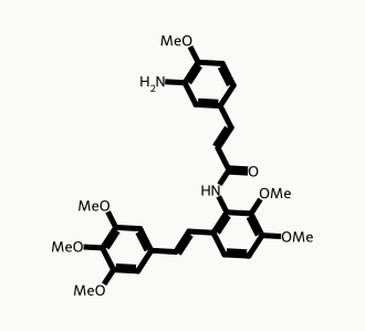 COc1ccc(/C=C/C(=O)Nc2c(C=Cc3cc(OC)c(OC)c(OC)c3)ccc(OC)c2OC)cc1N